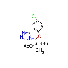 CC(=O)OC(C)(C(Oc1ccc(Cl)cc1)n1cnnc1)C(C)(C)C